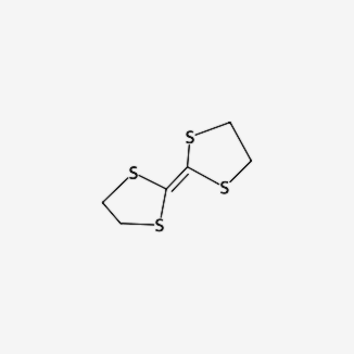 C1CSC(=C2SCCS2)S1